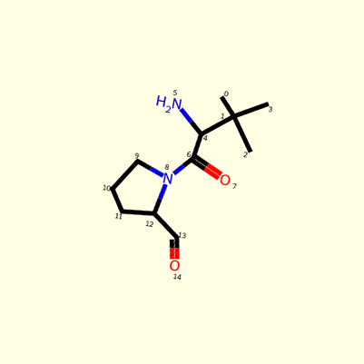 CC(C)(C)C(N)C(=O)N1CCCC1C=O